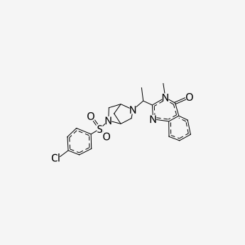 CC(c1nc2ccccc2c(=O)n1C)N1CC2CC1CN2S(=O)(=O)c1ccc(Cl)cc1